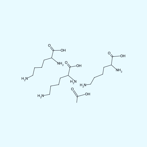 CC(=O)O.NCCCCC(N)C(=O)O.NCCCCC(N)C(=O)O.NCCCCC(N)C(=O)O